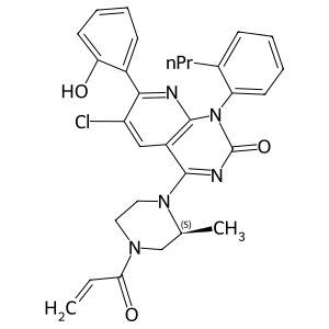 C=CC(=O)N1CCN(c2nc(=O)n(-c3ccccc3CCC)c3nc(-c4ccccc4O)c(Cl)cc23)[C@@H](C)C1